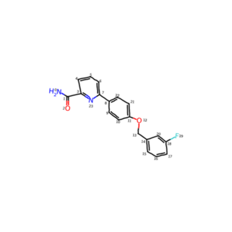 NC(=O)c1cccc(-c2ccc(OCc3cccc(F)c3)cc2)n1